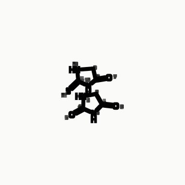 O=C1CNC(=O)N1.O=C1CNC(=S)N1